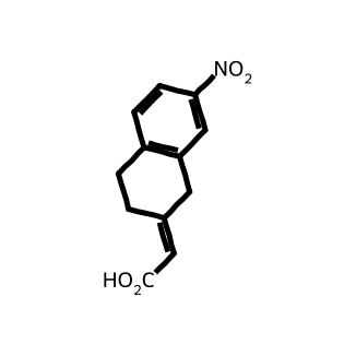 O=C(O)C=C1CCc2ccc([N+](=O)[O-])cc2C1